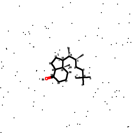 C[C@H](CCC(C)(C)C)[C@@H](C)C1CCC2C(=O)CCC[C@@]21C